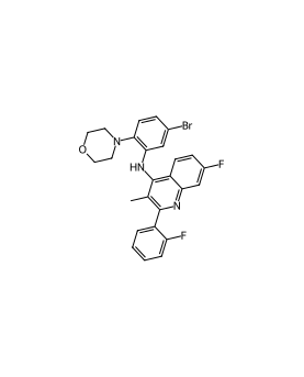 Cc1c(-c2ccccc2F)nc2cc(F)ccc2c1Nc1cc(Br)ccc1N1CCOCC1